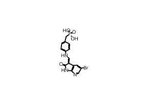 O=C1Nc2ncc(Br)cc2C1=CNc1ccc(CP(=O)(O)O)cc1